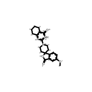 COc1ccc2c(c1)C(=O)OC21CCN(c2nc3c(c(=O)[nH]2)CCCC3)CC1